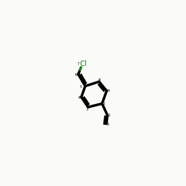 C=CC1C=CC(=CCl)C=C1